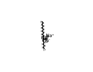 CCCCCCCCCCOC(CCCCCC)C(=O)[O-].[Na+]